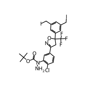 CC(C)(C)OC(=O)N(N)c1cc(C2=NOC(c3cc(CI)cc(CI)c3)(C(F)(F)F)C2)ccc1Cl